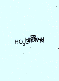 Cn1cc(C2=CCC(Cn3ccc4cccc(C(=O)NC5(C67CC6(C(=O)O)C7)CC5)c43)N=C2)cn1